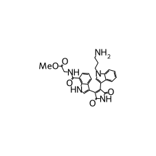 COC(=O)CNC(=O)c1cccc2c(C3=C(c4cn(CCCN)c5ccccc45)C(=O)NC3=O)c[nH]c12